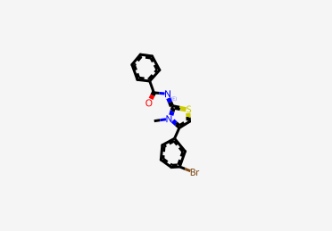 Cn1c(-c2cccc(Br)c2)cs/c1=N/C(=O)c1ccccc1